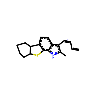 C=C/C=C\c1c(C)[nH]c2c3c(ccc12)C1CCCCC1S3